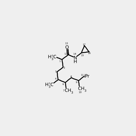 CC(CCC(C)C(C)CC(C)C(C)C)C(=O)NC1CC1